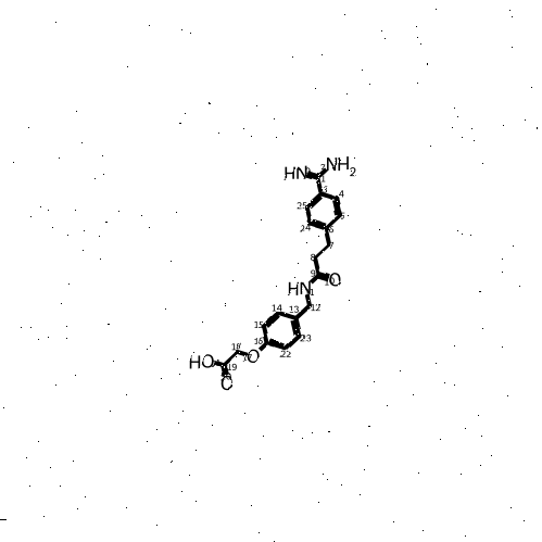 N=C(N)c1ccc(CCC(=O)NCc2ccc(OCC(=O)O)cc2)cc1